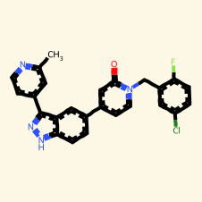 Cc1cc(-c2n[nH]c3ccc(-c4ccn(Cc5cc(Cl)ccc5F)c(=O)c4)cc23)ccn1